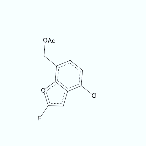 CC(=O)OCc1ccc(Cl)c2cc(F)oc12